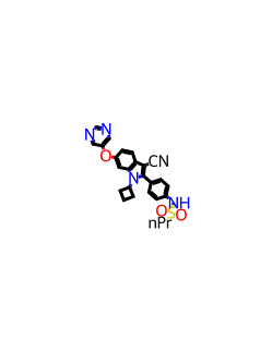 CCCS(=O)(=O)Nc1ccc(-c2c(C#N)c3ccc(Oc4cncnc4)cc3n2C2CCC2)cc1